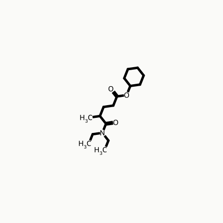 CCN(CC)C(=O)C(C)CCC(=O)OC1CCCCC1